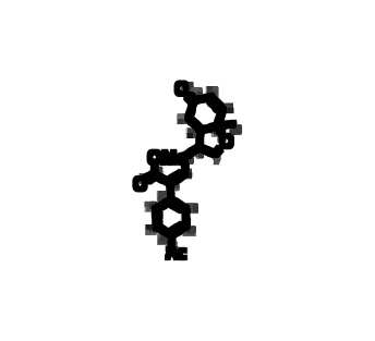 COC(=O)/C(=C\CC1COC2(C)C=CC(=O)CC12)c1ccc(C(C)=O)cc1